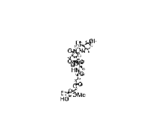 CCc1c2c(nc3ccc(O)cc13)-c1cc3c(c(=O)n1C2)COC(=O)[C@@]3(CC)OC(=O)[C@H](C)NC(=O)CCCC(=O)OCC(OC)OC(CC)CO